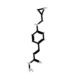 COC(=O)/C=C/c1ccc(OCC2CO2)cc1